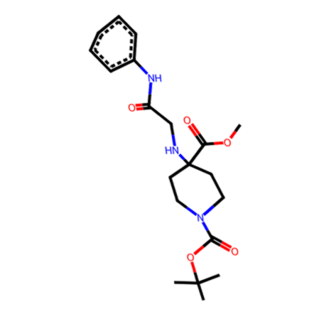 COC(=O)C1(NCC(=O)Nc2ccccc2)CCN(C(=O)OC(C)(C)C)CC1